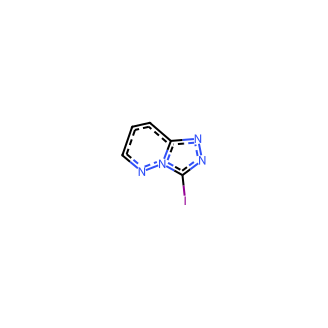 Ic1nnc2cccnn12